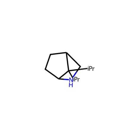 CC(C)C1(C(C)C)C2CCC1NC2